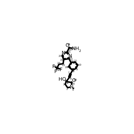 CN1CC[C@](O)(C#Cc2cccc(-c3nc(C(N)=O)ncc3CCC(F)(F)F)c2)C1=O